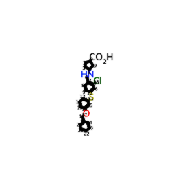 O=C(O)C1CCC(NCc2ccc(Sc3cccc(OCc4ccccc4)c3)cc2Cl)C1